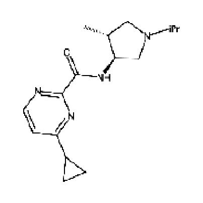 CC(C)N1C[C@@H](C)[C@H](NC(=O)c2nccc(C3CC3)n2)C1